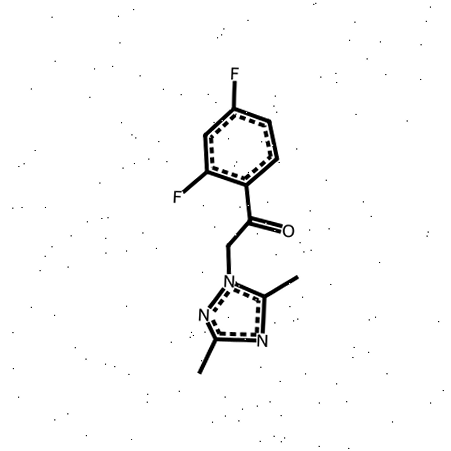 Cc1nc(C)n(CC(=O)c2ccc(F)cc2F)n1